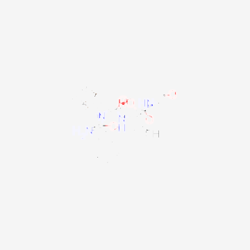 CCCC(NC(=O)[C@@H]1CC2(CN1C(=O)C(N)C1CCCCC1)SCCS2)C(O)C(=O)NCC=O